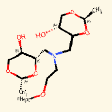 CCCCCCCOCCN(CC1O[C@H](C)OC[C@H]1O)C[C@@H]1O[C@H](C)OC[C@H]1O